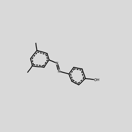 Cc1cc(C)cc(N=Nc2ccc(O)cc2)c1